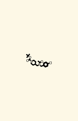 CC(=O)N(Cc1ccc(Cl)cc1)CC1CCN(C(=O)OC(C)(C)C)CC1